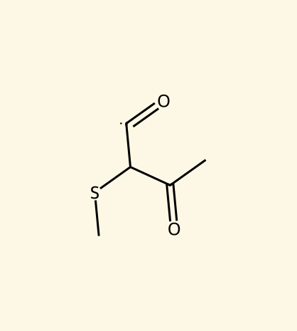 CSC([C]=O)C(C)=O